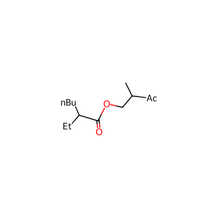 CCCCC(CC)C(=O)OCC(C)C(C)=O